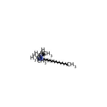 CCCCCCCCCCCCCCCCCN=C(N(C)C)N(C)C[SiH](C)C